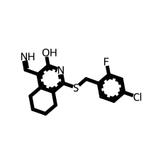 N=Cc1c(O)nc(SCc2ccc(Cl)cc2F)c2c1CCCC2